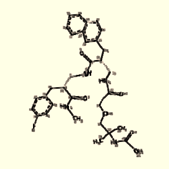 CNC(=O)[C@@H](CNC(=O)[C@@H](CNC(=O)COCC(C)(C)NC(=O)O)Cc1ccc2ccccc2c1)Cc1ccc(F)cc1